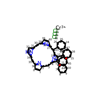 C1=Cc2cc3c(-c4ccccc4)c(-c4ccccc4)c(c(-c4ccccc4)c4nc(cc5ccc(cc1n2)[nH]5)C=C4)n3-c1ccccc1.[Cl-].[Cl-].[Cl-].[Cr+3]